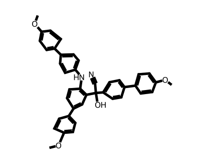 COc1ccc(-c2ccc(Nc3ccc(-c4ccc(OC)cc4)cc3C(O)(C#N)c3ccc(-c4ccc(OC)cc4)cc3)cc2)cc1